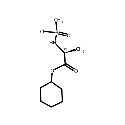 C[C@H](NP(C)(=O)Cl)C(=O)OC1CCCCC1